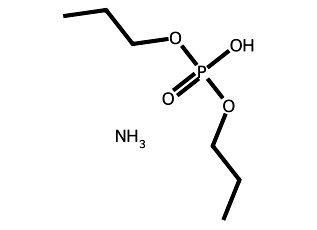 CCCOP(=O)(O)OCCC.N